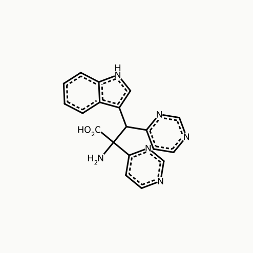 NC(C(=O)O)(c1ccncn1)C(c1ccncn1)c1c[nH]c2ccccc12